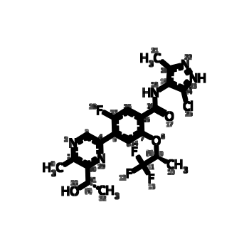 Cc1ncc(-c2cc(O[C@@H](C)C(F)(F)F)c(C(=O)Nc3c(C)n[nH]c3Cl)cc2F)nc1[C@H](C)O